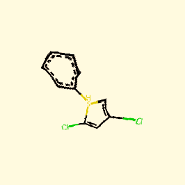 ClC1=C[SH](c2ccccc2)C(Cl)=C1